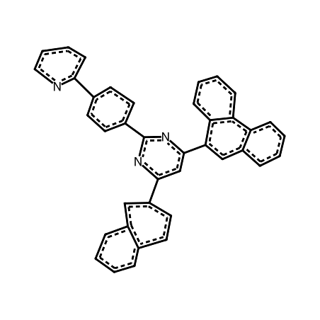 c1ccc(-c2ccc(-c3nc(-c4ccc5ccccc5c4)cc(-c4cc5ccccc5c5ccccc45)n3)cc2)nc1